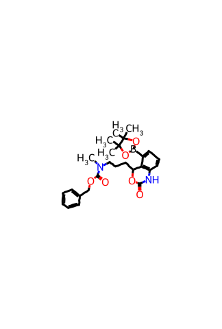 CN(CCCC1OC(=O)Nc2cccc(B3OC(C)(C)C(C)(C)O3)c21)C(=O)OCc1ccccc1